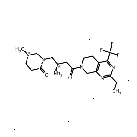 CCc1nc2c(c(C(F)(F)F)n1)CCN(C(=O)C[C@@H](N)CN1C[C@H](C)CCC1=O)C2